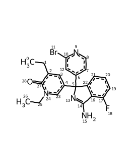 CCc1cc(C2(c3ccnc(Br)c3)N=C(N)c3c(F)cccc32)cn(CC)c1=O